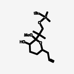 C=CCC1CCC(O)C(OC)(C(C)(C)CO[Si](C)(C)C(C)(C)C)O1